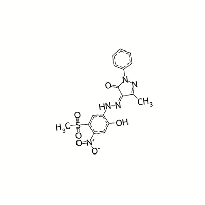 CC1=NN(c2ccccc2)C(=O)C1=NNc1cc(S(C)(=O)=O)c([N+](=O)[O-])cc1O